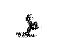 COc1cc(-n2cnc(Nc3nc4c(c(N5CCC[C@H]5CO)n3)CCN(Cc3ccc(C(F)(F)F)cc3)C4)c2)cc(OC)c1OC